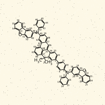 CC1(C)c2cc(-c3ccc(N(c4ccccc4)c4ccc5oc6ccccc6c5c4)cc3)ccc2-c2cc3ccc(N(c4ccccc4)c4ccc5oc6ccccc6c5c4)cc3c3cccc1c23